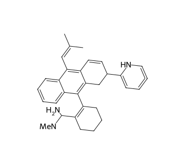 CNC(N)C1=C(c2c3c(c(C=C(C)C)c4ccccc24)C=CC(C2=CC=C=CN2)C3)CCCC1